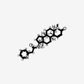 CN1C(=O)C=C[C@]2(C)[C@H]3CC[C@]4(C)[C@@H](NC(=O)Cc5ccccn5)CC[C@H]4[C@@H]3CC[C@@H]12